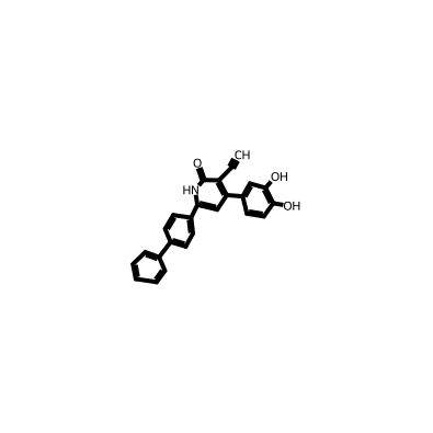 C#Cc1c(-c2ccc(O)c(O)c2)cc(-c2ccc(-c3ccccc3)cc2)[nH]c1=O